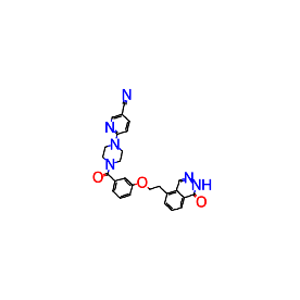 N#Cc1ccc(N2CCN(C(=O)c3cccc(OCCc4cccc5c(=O)[nH]ncc45)c3)CC2)nc1